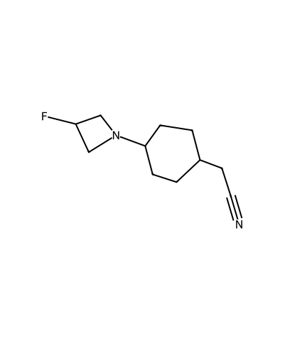 N#CCC1CCC(N2CC(F)C2)CC1